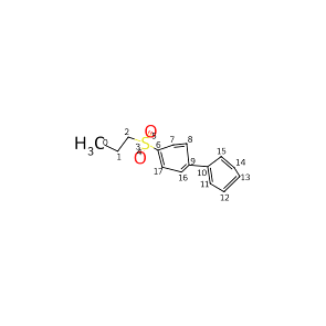 CCCS(=O)(=O)c1ccc(-c2ccccc2)cc1